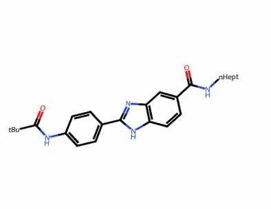 CCCCCCCNC(=O)c1ccc2[nH]c(-c3ccc(NC(=O)C(C)(C)C)cc3)nc2c1